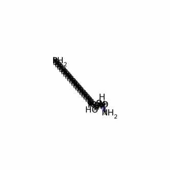 NC/C=C/c1cn(C2CC(O)C(COP(#P)P=PP=PP=PP=PP=PP=PP=PP=PP=PP=PP=PP=PP=PP=PP=PP=PP=PP=PP)O2)c(=O)[nH]c1=O